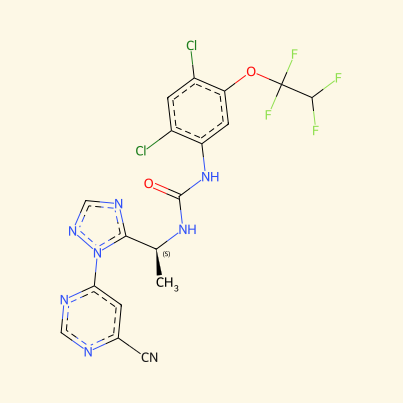 C[C@H](NC(=O)Nc1cc(OC(F)(F)C(F)F)c(Cl)cc1Cl)c1ncnn1-c1cc(C#N)ncn1